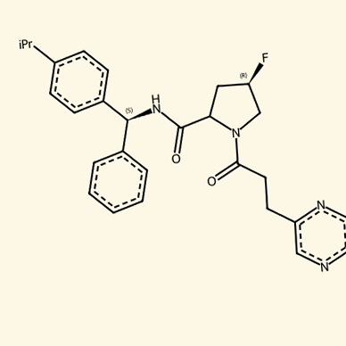 CC(C)c1ccc([C@@H](NC(=O)C2C[C@@H](F)CN2C(=O)CCc2cnccn2)c2ccccc2)cc1